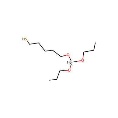 CCCO[SiH](OCCC)OCCCCCS